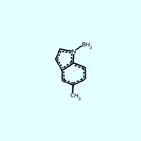 Bn1ccc2cc(C)ccc21